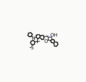 CSc1ccc2c(c1)C(C)(C)c1c(ccc3cc(/C=C4\C(=O)c5cc6ccccc6cc5C4O)ccc13)N2c1ccccc1